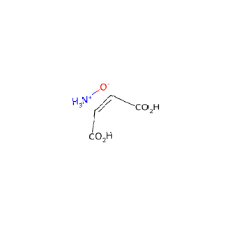 O=C(O)/C=C\C(=O)O.[NH3+][O-]